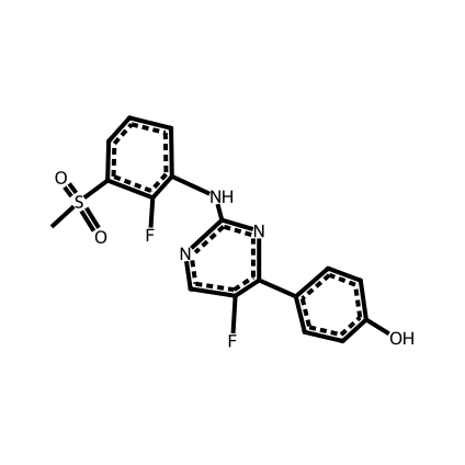 CS(=O)(=O)c1cccc(Nc2ncc(F)c(-c3ccc(O)cc3)n2)c1F